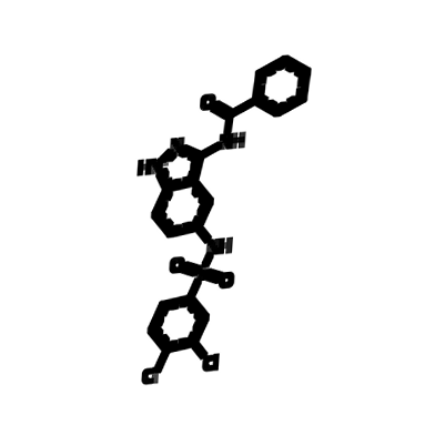 O=C(Nc1n[nH]c2ccc(NS(=O)(=O)c3ccc(Cl)c(Cl)c3)cc12)c1ccccc1